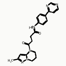 Cc1cc2n(n1)CCCN2C(=O)CCC(=O)Nc1ccc(-c2ccncn2)cc1